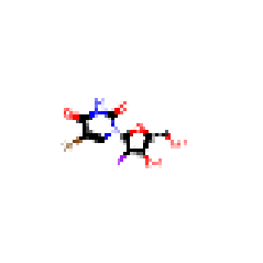 O=c1[nH]c(=O)n([C@@H]2O[C@H](CO)[C@@H](O)C2I)cc1Br